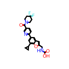 O=C(O)NCc1cc2cc(-c3ccc(C(=O)N4CCC(F)(F)CC4)cn3)cc(C3CC3)c2o1